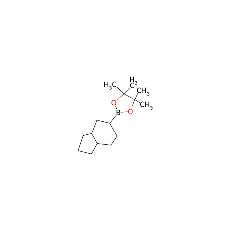 CC1(C)OB(C2CCC3CCCC3C2)OC1(C)C